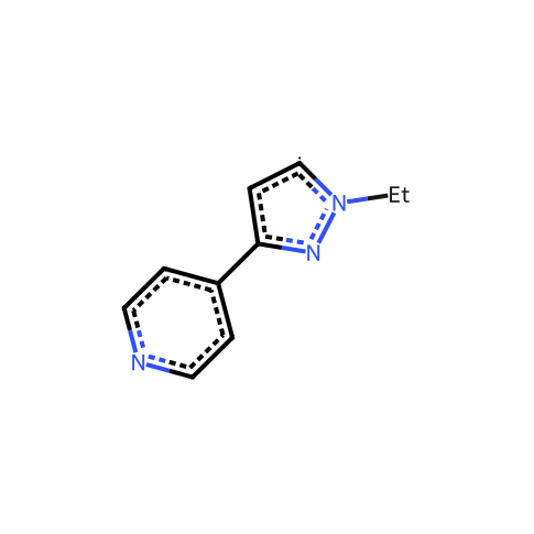 CCn1[c]cc(-c2ccncc2)n1